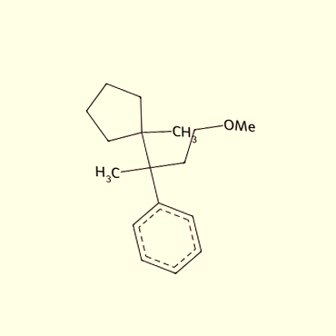 COCCC(C)(c1ccccc1)C1(C)CCCC1